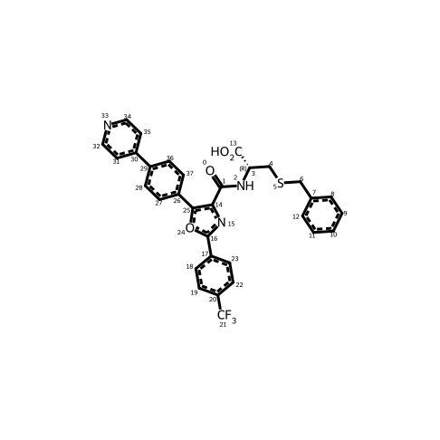 O=C(N[C@@H](CSCc1ccccc1)C(=O)O)c1nc(-c2ccc(C(F)(F)F)cc2)oc1-c1ccc(-c2ccncc2)cc1